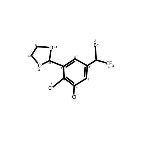 FC(F)(F)C(Br)c1cc(Cl)c(Cl)c(C2OCCO2)c1